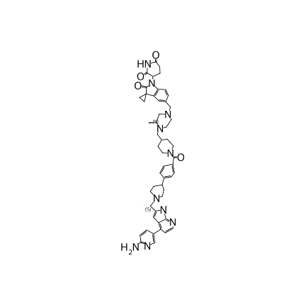 C[C@H]1CN(Cc2ccc3c(c2)C2(CC2)C(=O)N3C2CCC(=O)NC2=O)CCN1CC1CCN(C(=O)c2ccc(C3CCN([C@@H](C)c4cc5c(-c6ccc(N)nc6)ccnc5n4C)CC3)cc2)CC1